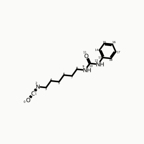 O=C=NCCCCCCNC(=O)Nc1ccccc1